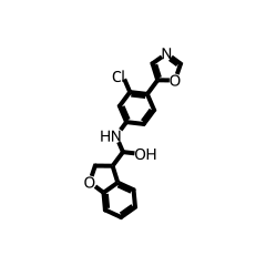 OC(Nc1ccc(-c2cnco2)c(Cl)c1)C1COc2ccccc21